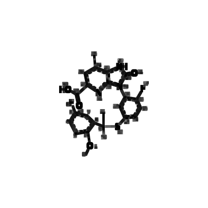 COc1ccc(F)cc1C(C)(C)Sc1ccc(F)c(-n2c(=O)[nH]c3c(C)cc(C(=O)O)nc32)c1